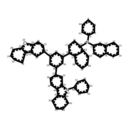 c1ccc(N(c2ccc3ccccc3c2)c2ccc(-c3cc(-c4ccc5oc6ccccc6c5c4)cc(-c4ccc5c6ccccc6n(-c6ccccc6)c5c4)c3)c3ccccc23)cc1